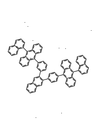 c1cc(-c2cc3ccccc3cc2-c2ccc(-c3c4ccccc4c(-c4cccc5ccccc45)c4ccccc34)cc2)cc(-c2c3ccccc3c(-c3cccc4ccccc34)c3ccccc23)c1